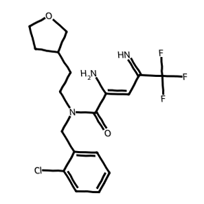 N=C(/C=C(\N)C(=O)N(CCC1CCOC1)Cc1ccccc1Cl)C(F)(F)F